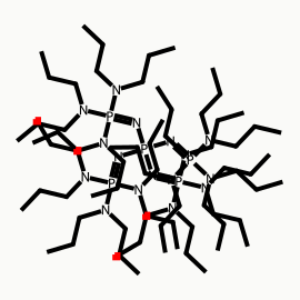 CCCN(CCC)P(=N[P+](N=P(N(CCC)CCC)(N(CCC)CCC)N(CCC)CCC)(N=P(N(CCC)CCC)(N(CCC)CCC)N(CCC)CCC)N=P(N(CCC)CCC)(N(CCC)CCC)N(CCC)CCC)(N(CCC)CCC)N(CCC)CCC